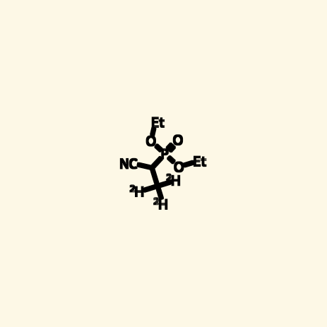 [2H]C([2H])([2H])C(C#N)P(=O)(OCC)OCC